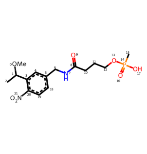 COC(C)c1cc(CNC(=O)CCCOP(C)(=O)O)ccc1[N+](=O)[O-]